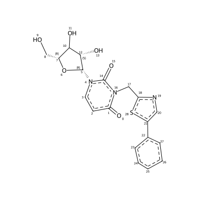 O=c1ccn([C@@H]2O[C@H](CO)C(O)[C@@H]2O)c(=O)n1Cc1ncc(-c2ccccc2)s1